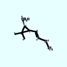 CC1(C)C(C=NOC(F)(F)F)[C@H]1C(=O)O